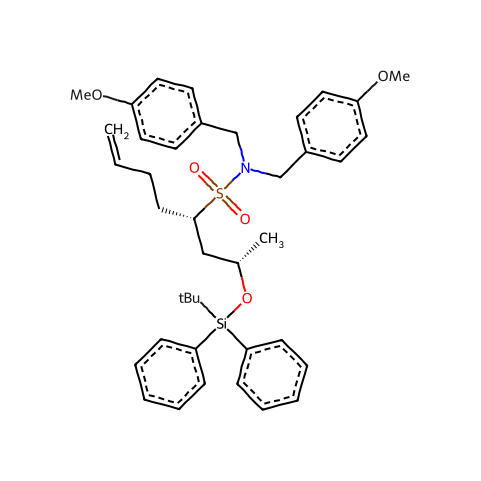 C=CCC[C@@H](C[C@H](C)O[Si](c1ccccc1)(c1ccccc1)C(C)(C)C)S(=O)(=O)N(Cc1ccc(OC)cc1)Cc1ccc(OC)cc1